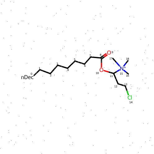 CCCCCCCCCCCCCCCCCC(=O)OC(CCCl)[N+](C)(C)C